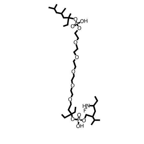 CCC(CC(COP(=O)(O)OC(CC)(CC)CCOCCOCCOCCOCCOCCOP(=O)(O)OC(C)(CC)CC(C)CC(C)C)C(C)C)NF